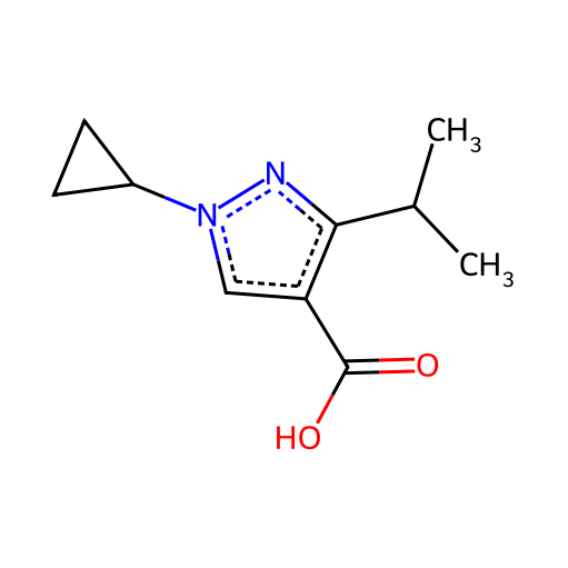 CC(C)c1nn(C2CC2)cc1C(=O)O